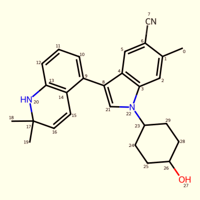 Cc1cc2c(cc1C#N)c(-c1cccc3c1C=CC(C)(C)N3)cn2C1CCC(O)CC1